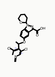 C=N/C=C(Cl)\C(=C(/C)Cl)C(C)Oc1ccc2c(c1)c(C(=O)O)nn2C1CCCCO1